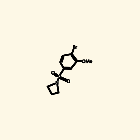 COc1cc(S(=O)(=O)N2CCC2)ccc1Br